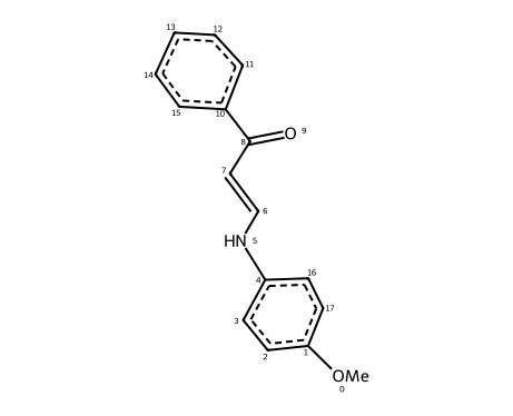 COc1ccc(NC=CC(=O)c2ccccc2)cc1